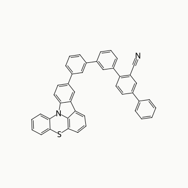 N#Cc1cc(-c2ccccc2)ccc1-c1cccc(-c2cccc(-c3ccc4c(c3)c3cccc5c3n4-c3ccccc3S5)c2)c1